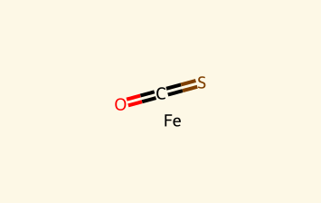 O=C=S.[Fe]